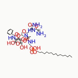 CCCCCCCCCCCCCCCCOP(=O)(O)OCCNC(=O)[C@H](C)N(CC(C)O[C@H]1[C@H](O)[C@@H](CO)O[C@H](O)[C@@H]1NC(=O)c1ccccc1)C(=O)CC[C@@H](NC(=O)[C@H](C)N)C(N)=O